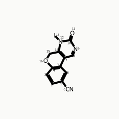 N#Cc1ccc2c(c1)-c1cnc(=O)n(I)c1CO2